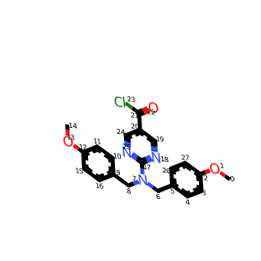 COc1ccc(CN(Cc2ccc(OC)cc2)c2ncc(C(=O)Cl)cn2)cc1